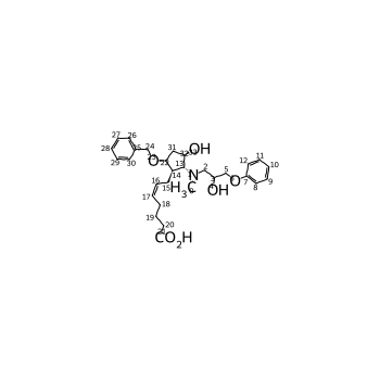 CN(CC(O)COc1ccccc1)[C@@H]1[C@@H](C/C=C\CCCC(=O)O)[C@@H](OCc2ccccc2)C[C@H]1O